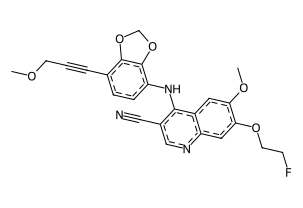 COCC#Cc1ccc(Nc2c(C#N)cnc3cc(OCCF)c(OC)cc23)c2c1OCO2